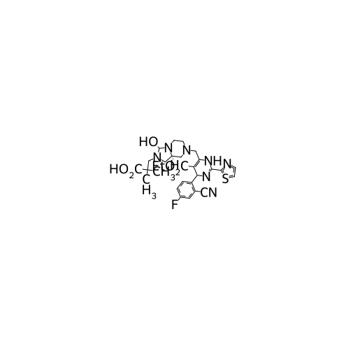 CCOC(=O)C1=C(CN2CCN3C(O)N(CC(C)(C)C(=O)O)C[C@@H]3C2)NC(c2nccs2)=NC1c1ccc(F)cc1C#N